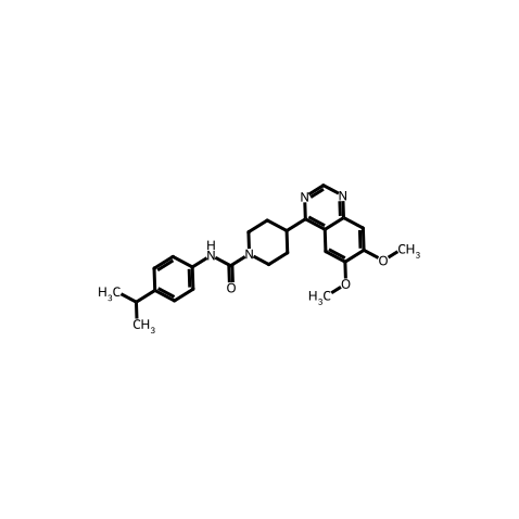 COc1cc2ncnc(C3CCN(C(=O)Nc4ccc(C(C)C)cc4)CC3)c2cc1OC